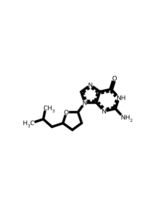 CC(C)CC1CCC(n2cnc3c(=O)[nH]c(N)nc32)O1